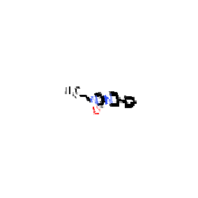 CCCCn1ccc(N2CCC(c3ccccc3)CC2)cc1=O